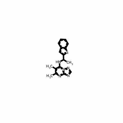 Cc1nc2ncnn2c(NC(C)c2cc3ccccc3s2)c1C